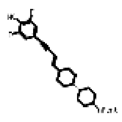 CCCCC[C@H]1CC[C@H](C2CCC(/C=C/C#Cc3cc(F)c(C#N)c(F)c3)CC2)CC1